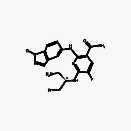 CCn1ncc2cc(Nc3nc(N[C@@H](CN)CC(C)C)c(F)cc3C(N)=O)ccc21